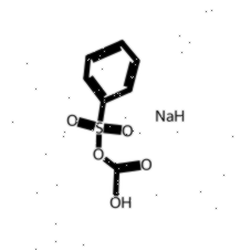 O=C(O)OS(=O)(=O)c1ccccc1.[NaH]